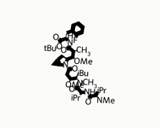 CC[C@H](C)[C@@H]([C@@H](CC(=O)N1C2CC2C[C@H]1[C@H](OC)[C@@H](C)C(=O)N[C@@H](Cc1ccccc1F)C(=O)OC(C)(C)C)OC)N(C)C(=O)[C@@H](NC(=O)[C@@H](NC)C(C)C)C(C)C